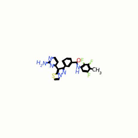 Cc1c(F)cc(NC(=O)c2cccc(-c3nn4ccsc4c3-c3ccnc(N)n3)c2)c(F)c1F